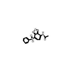 CC(=O)Nc1ccc(S(=O)(=O)c2ccccc2)c2nonc12